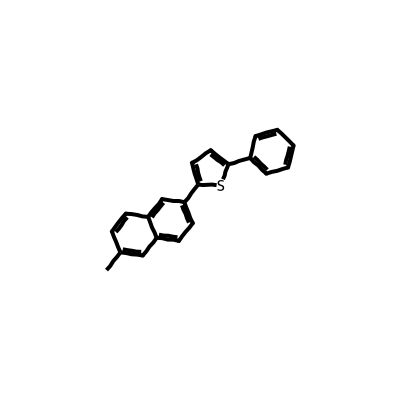 Cc1ccc2cc(-c3ccc(-c4ccccc4)s3)ccc2c1